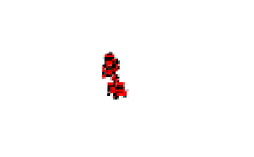 c1ccc2c(c1)Oc1ccccc1C21c2ccccc2-c2ccc(-c3ccc(N(c4ccc5ccc6c7ccccc7oc6c5c4)c4cccc5ccccc45)cc3)cc21